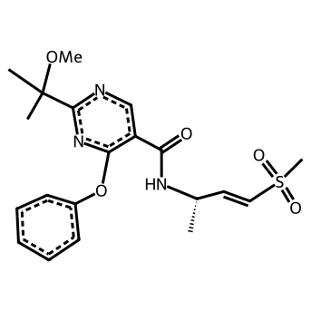 COC(C)(C)c1ncc(C(=O)N[C@@H](C)/C=C/S(C)(=O)=O)c(Oc2ccccc2)n1